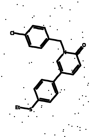 CCSc1ccc(-c2ccc(=O)n(Cc3ccc(Cl)cc3)c2)cc1